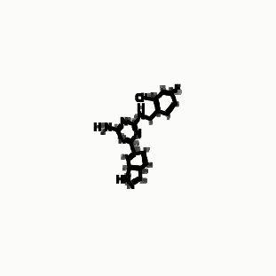 Nc1nc(NCc2ccc(F)cc2Cl)nc(-c2ccc3cn[nH]c3c2)n1